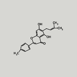 CC(C)=CCc1c(O)cc2oc(-c3ccc(C)cc3)cc(=O)c2c1O